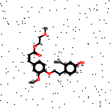 CCCCOc1cc(/C=C\C(=O)OCCOCC)ccc1OCCc1ccc(O)cc1OC